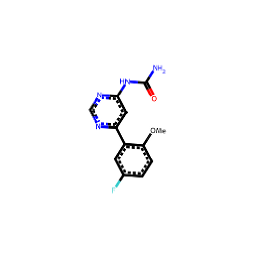 COc1ccc(F)cc1-c1cc(NC(N)=O)ncn1